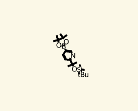 CC(C)(O[Si](C)(C)C(C)(C)C)c1ccc(B2OC(C)(C)C(C)(C)O2)cn1